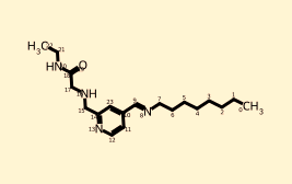 CCCCCCCC/N=C/c1ccnc(CNCC(=O)NCC)c1